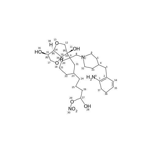 NC1=C(CC2CCN(CC3([C@@]4(O)CO[C@@H]5[C@H](O)CO[C@@H]54)CCCC(CCCC(O)O[N+](=O)[O-])C3)CC2)C=CCC1